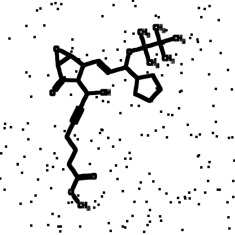 COC(=O)CCCC#CC(O)C1C(=O)C2OC2C1C=CC(O[Si](C)(C)C(C)(C)C)C1CCCC1